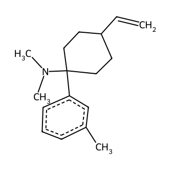 C=CC1CCC(c2cccc(C)c2)(N(C)C)CC1